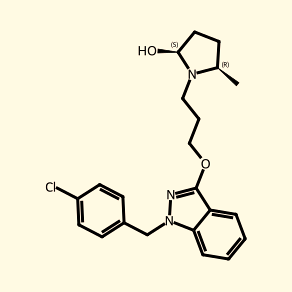 C[C@@H]1CC[C@H](O)N1CCCOc1nn(Cc2ccc(Cl)cc2)c2ccccc12